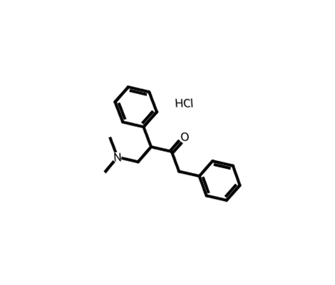 CN(C)CC(C(=O)Cc1ccccc1)c1ccccc1.Cl